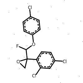 FC(Oc1ccc(Cl)cc1)C1(c2ccc(Cl)cc2Cl)CO1